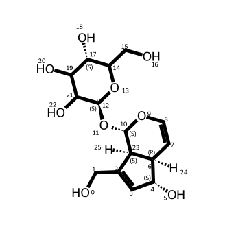 OCC1=C[C@@H](O)[C@@H]2C=CO[C@@H](O[C@@H]3OC(CO)[C@@H](O)C(O)C3O)[C@H]12